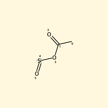 CC(=O)O[Si]=O